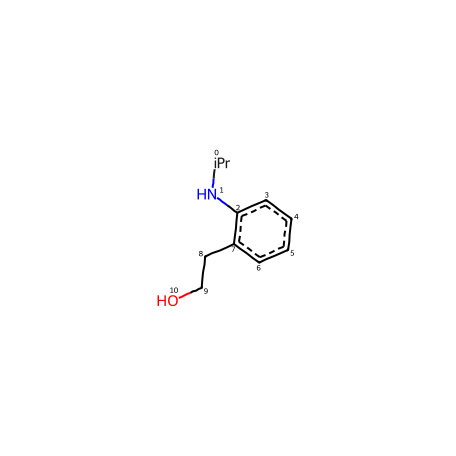 CC(C)Nc1ccccc1CCO